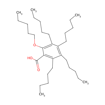 CCCCCOc1c(CCCCC)c(CCCCC)c(CCCCC)c(CCCCC)c1C(=O)O